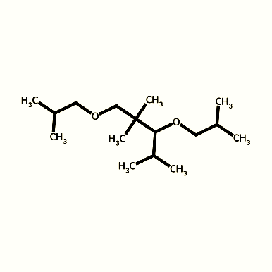 CC(C)COCC(C)(C)C(OCC(C)C)C(C)C